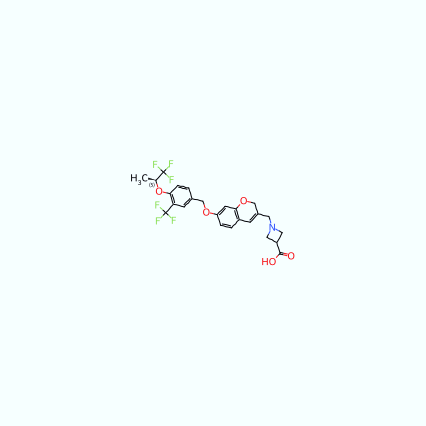 C[C@H](Oc1ccc(COc2ccc3c(c2)OCC(CN2CC(C(=O)O)C2)=C3)cc1C(F)(F)F)C(F)(F)F